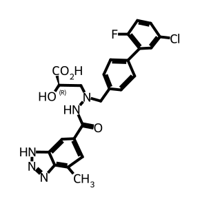 Cc1cc(C(=O)NN(Cc2ccc(-c3cc(Cl)ccc3F)cc2)C[C@@H](O)C(=O)O)cc2[nH]nnc12